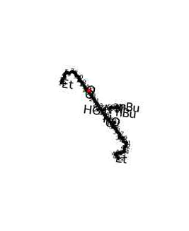 CC/C=C\C/C=C\C/C=C\CCCCCCCC(=O)OCCCCCC(O)C(CCCCOC(=O)CCCCCCC/C=C\C/C=C\C/C=C\CC)CNCCCN(CCCC)CCCC